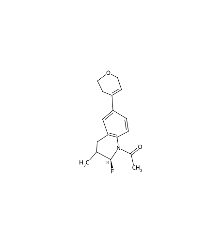 CC(=O)N1c2ccc(C3=CCOCC3)cc2CC(C)[C@@H]1F